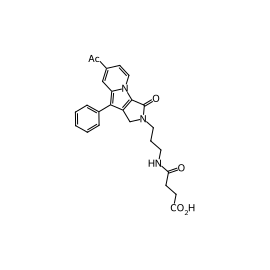 CC(=O)c1ccn2c3c(c(-c4ccccc4)c2c1)CN(CCCNC(=O)CCC(=O)O)C3=O